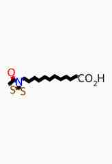 O=C(O)CCCCCCCCCCCN1C(=O)CSC1=S